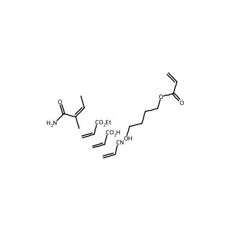 C=CC#N.C=CC(=O)O.C=CC(=O)OCC.C=CC(=O)OCCCCO.CC=C(C)C(N)=O